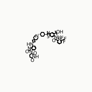 Cn1c(=O)n(C2CCC(=O)NC2=O)c2cccc(NC3CC4(CCN(C[C@H]5CC[C@H](c6nc7cc(C(C)(C)O)c(NC(=O)c8cccc(C(F)(F)F)n8)cc7s6)CC5)CC4)C3)c21